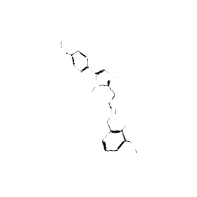 COc1ccc(-c2cnc(CCNCc3cccc(OC)c3O)n2C)cc1